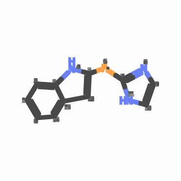 c1ccc2[nH]c([P]c3ncc[nH]3)cc2c1